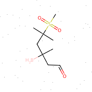 BC(C)(CC=O)CC(C)(C)S(C)(=O)=O